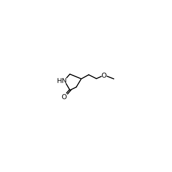 COCCC1CNC(=O)C1